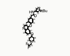 Cc1cc(CC(=O)Nc2cnn(C(C)(C)C)c2)ccc1Oc1ccnc2ccc(OC3CCN(CC(F)F)CC3)cc12